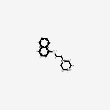 c1ccc2c(OCCN3CCNCC3)cccc2c1